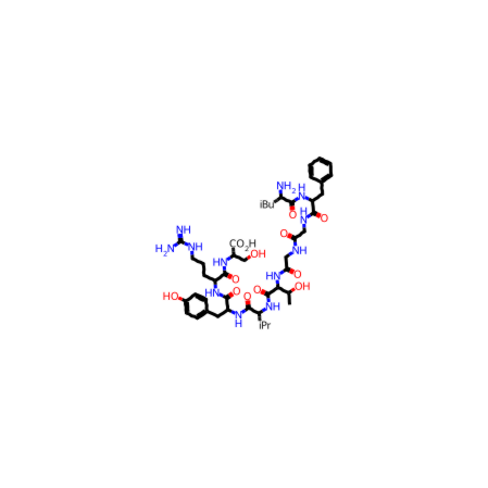 CCC(C)C(N)C(=O)NC(Cc1ccccc1)C(=O)NCC(=O)NCC(=O)NC(C(=O)NC(C(=O)NC(Cc1ccc(O)cc1)C(=O)NC(CCCNC(=N)N)C(=O)NC(CO)C(=O)O)C(C)C)C(C)O